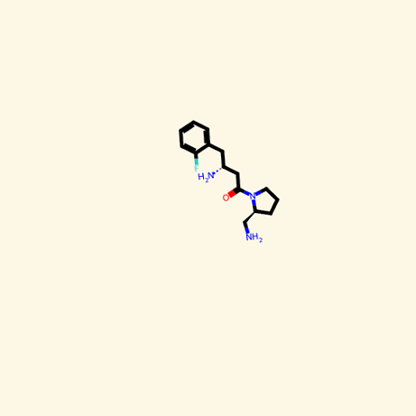 NC[C@@H]1CCCN1C(=O)C[C@H](N)Cc1ccccc1F